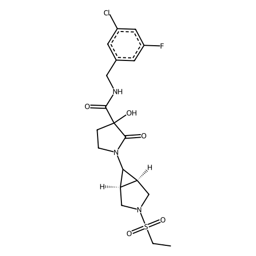 CCS(=O)(=O)N1C[C@@H]2C(N3CCC(O)(C(=O)NCc4cc(F)cc(Cl)c4)C3=O)[C@@H]2C1